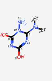 CCN(CC)C1N=C(O)N=C(O)N1N